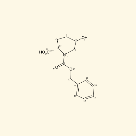 O=C(O)[C@@H]1CCC(O)CN1C(=O)OCc1ccccc1